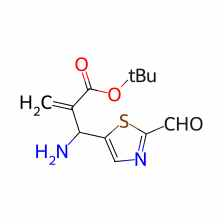 C=C(C(=O)OC(C)(C)C)C(N)c1cnc(C=O)s1